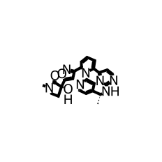 C[C@@H](Nc1nccc(-c2cccc(-c3cc([C@]4(O)CCN(C)C4=O)on3)n2)n1)c1ccncc1